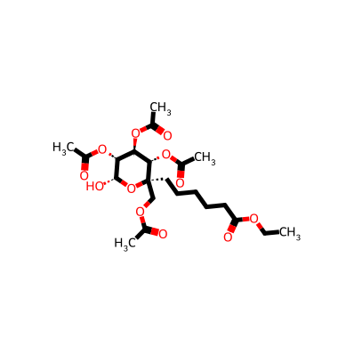 CCOC(=O)CCCCC[C@]1(COC(C)=O)O[C@H](O)[C@H](OC(C)=O)[C@@H](OC(C)=O)[C@@H]1OC(C)=O